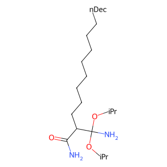 CCCCCCCCCCCCCCCCCCC(C(N)=O)C(N)(OC(C)C)OC(C)C